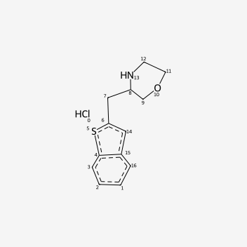 Cl.c1ccc2sc(CC3COCCN3)cc2c1